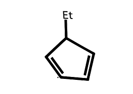 CCC1C=[C]C=C1